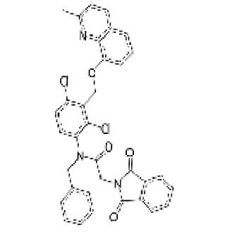 Cc1ccc2cccc(OCc3c(Cl)ccc(N(Cc4ccccc4)C(=O)CN4C(=O)c5ccccc5C4=O)c3Cl)c2n1